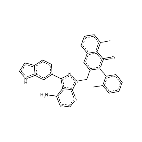 Cc1ccccc1-n1c(Cn2nc(-c3ccc4cc[nH]c4c3)c3c(N)ncnc32)cc2cccc(C)c2c1=O